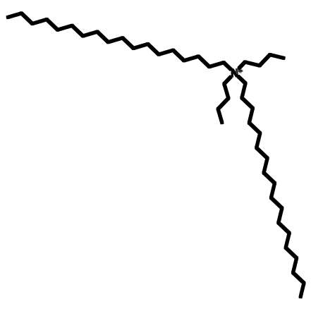 CCCCCCCCCCCCCCCCCC[N+](CCCC)(CCCC)CCCCCCCCCCCCCCCCCC